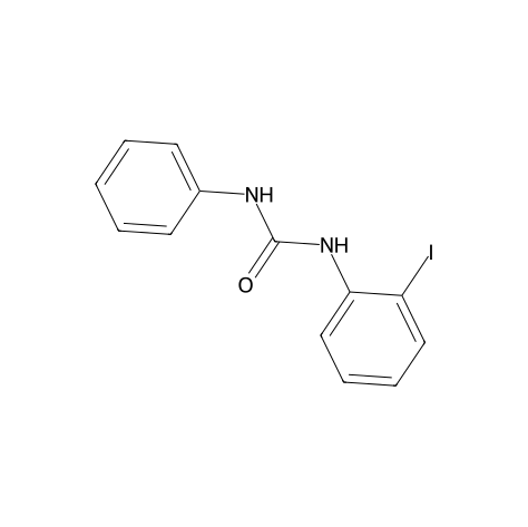 O=C(Nc1ccccc1)Nc1ccccc1I